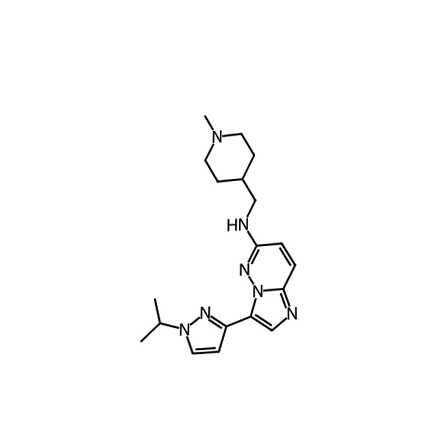 CC(C)n1ccc(-c2cnc3ccc(NCC4CCN(C)CC4)nn23)n1